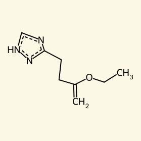 C=C(CCc1nc[nH]n1)OCC